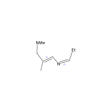 CC/C=N\C=C(/C)CNC